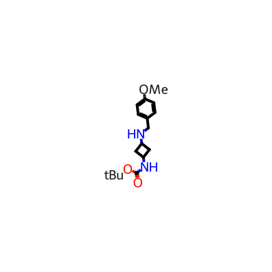 COc1ccc(CNC2CC(NC(=O)OC(C)(C)C)C2)cc1